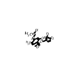 CCN(C)C=Nc1cc(OC)c(C2(OCc3ccc(Cl)c(Cl)c3)COC2)cc1C